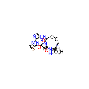 N[C@H]1CCCCC/C=C\[C@@H]2C[C@@]2(C(=O)O)NC(=O)[C@@H]2C[C@@H](Oc3nc(-c4ccccn4)nc4ccsc34)CN2C1=O